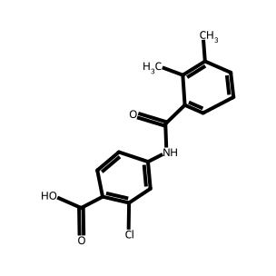 Cc1cccc(C(=O)Nc2ccc(C(=O)O)c(Cl)c2)c1C